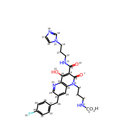 O=C(O)NCCCn1c(=O)c(C(=O)NCCCn2ccnc2)c(O)c2ncc(Cc3ccc(F)cc3)cc21